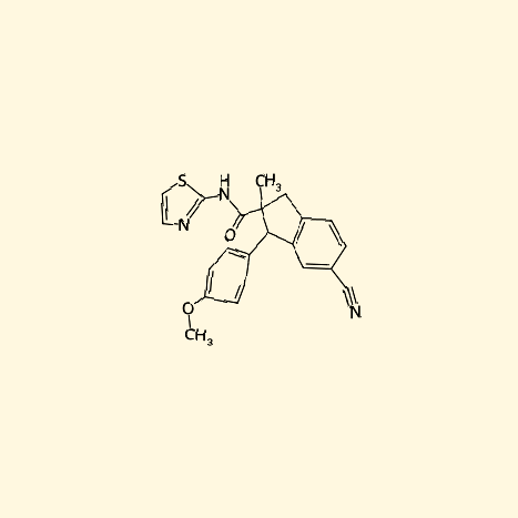 COc1ccc(C2c3cc(C#N)ccc3CC2(C)C(=O)Nc2nccs2)cc1